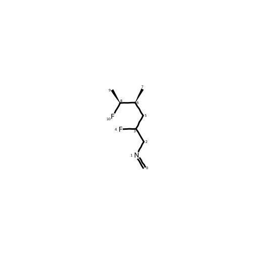 C=NCC(F)C[C@H](C)[C@H](C)F